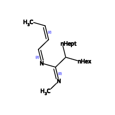 C\C=C/C=N\C(=N/C)C(CCCCCC)CCCCCCC